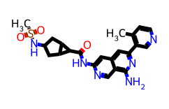 Cc1ccncc1-c1cc2cc(NC(=O)C3C4CC(NS(C)(=O)=O)CC43)ncc2c(N)n1